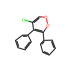 ClC1=COOC(c2ccccc2)=C1c1ccccc1